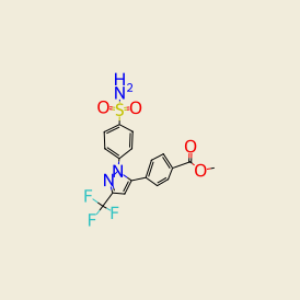 COC(=O)c1ccc(-c2cc(C(F)(F)F)nn2-c2ccc(S(N)(=O)=O)cc2)cc1